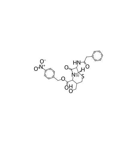 O=C(Cc1ccccc1)NC1C(=O)N2C(C(=O)OCc3ccc([N+](=O)[O-])cc3)C(CO)CS[C@@H]12